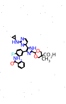 CC1(C(=O)O)COC(c2nc(-c3ccc(F)cc3)c(-c3ccnc(NC4CC4)n3)[nH]2)OC1.NC(=O)c1ccccc1